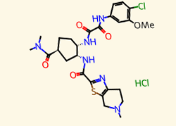 COc1cc(NC(=O)C(=O)N[C@H]2CC[C@H](C(=O)N(C)C)C[C@H]2NC(=O)c2nc3c(s2)CN(C)CC3)ccc1Cl.Cl